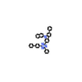 c1ccc(-c2ccc(-c3nc(-c4ccccc4)nc(-c4ccc5c6ccc(-c7ccccc7)cc6n(-c6ccc7ccccc7c6)c5c4)n3)cc2)cc1